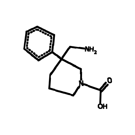 NCC1(c2ccccc2)CCCN(C(=O)O)C1